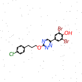 Oc1c(Br)cc(-c2cnc(OCCCc3ccc(Cl)cc3)nn2)cc1Br